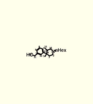 CCCCCCN1CCC(C)(c2cccc(CO)c2)C(C)C1